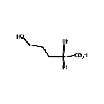 CCC(CC)(CCCO)C(=O)O